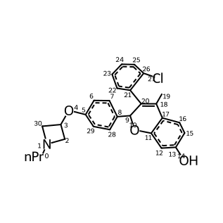 CCCN1CC(Oc2ccc(C3Oc4cc(O)ccc4C(C)=C3c3ccccc3Cl)cc2)C1